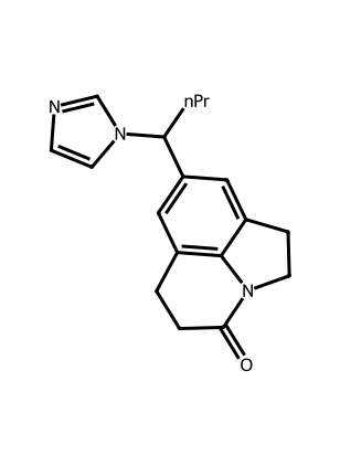 CCCC(c1cc2c3c(c1)CCN3C(=O)CC2)n1ccnc1